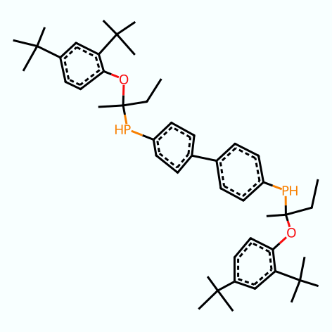 CCC(C)(Oc1ccc(C(C)(C)C)cc1C(C)(C)C)Pc1ccc(-c2ccc(PC(C)(CC)Oc3ccc(C(C)(C)C)cc3C(C)(C)C)cc2)cc1